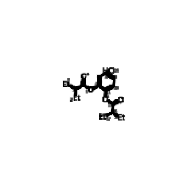 CCC(CC)C(=O)Oc1ccccc1OC(=O)C(CC)CC.Cl